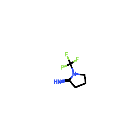 N=C1CCCN1C(F)(F)F